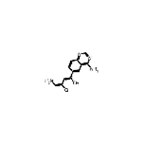 C/C(=C\C(Cl)=C/N)c1ccc2ncnc(N)c2c1